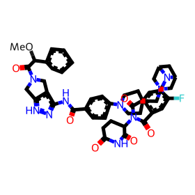 COC(C(=O)N1Cc2[nH]nc(NC(=O)c3ccc(N4CCC(CN5CC6CC(C5)N6c5cc6c(cc5F)C(=O)N(C5CCC(=O)NC5=O)C6=O)CC4)cc3)c2C1)c1ccccc1